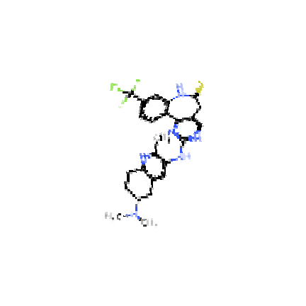 Cc1nc2c(cc1Nc1ncc3c(n1)-c1ccc(C(F)(F)F)cc1NC(=S)C3)C[C@@H](N(C)C)CC2